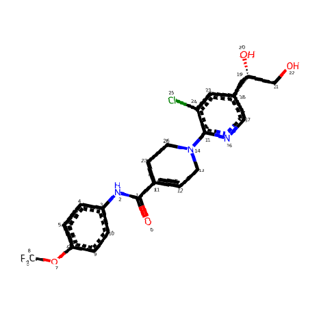 O=C(Nc1ccc(OC(F)(F)F)cc1)C1=CCN(c2ncc([C@H](O)CO)cc2Cl)CC1